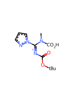 CN(C(=O)O)/C(=N\C(=O)OC(C)(C)C)n1cccn1